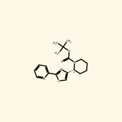 CC(C)(C)OC(=O)N1CCCC[C@@H]1c1csc(-c2ccccn2)n1